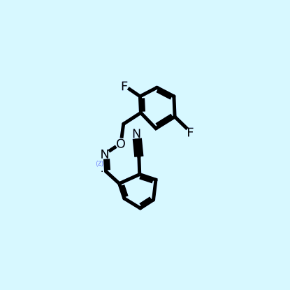 N#Cc1ccccc1/[C]=N\OCc1cc(F)ccc1F